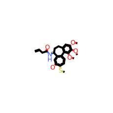 C=CCC(=O)N[C@H]1CCc2cc(OC)c(OC)c(OC)c2-c2ccc(SC)c(=O)cc21